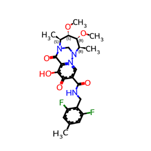 CO[C@@H]1[C@H](OC)[C@@H](C)N2CN(C(=O)c3c(O)c(=O)c(C(=O)NCc4c(F)cc(C)cc4F)cn32)[C@H]1C